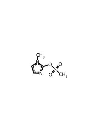 Cn1ccnc1OS(C)(=O)=O